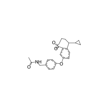 CC(=O)NCc1ccc(Oc2ccc3c(c2)S(=O)(=O)CCC3C2CC2)cc1